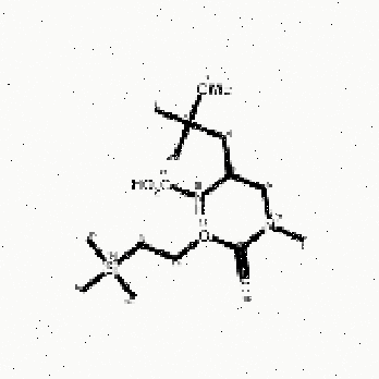 COC(C)(C)CC(CN(C)C(=O)OCC[Si](C)(C)C)NC(=O)O